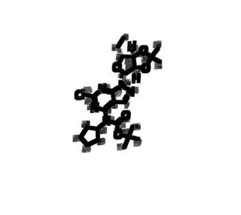 CC[C@H]1O[C@@H](n2ncc3c(N(C(=O)OC(C)(C)C)C4CCCC4)nc(Cl)nc32)[C@@H]2OC(C)(C)O[C@@H]21